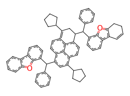 C1=Cc2c(oc3c(C(c4ccccc4)C4CC(C5CCCC5)=c5ccc6c(C(c7ccccc7)c7cccc8c7oc7ccccc78)cc(C7CCCC7)c7ccc4c5c76)cccc23)CC1